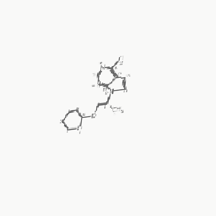 C[C@H](COC1CCCCO1)n1ccc2c(Cl)ncnc21